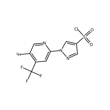 [2H]c1cnc(-n2cc(S(=O)(=O)Cl)cn2)cc1C(F)(F)F